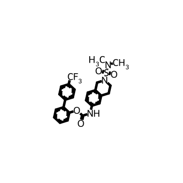 CN(C)S(=O)(=O)N1CCc2cc(NC(=O)Oc3ccccc3-c3ccc(C(F)(F)F)cc3)ccc2C1